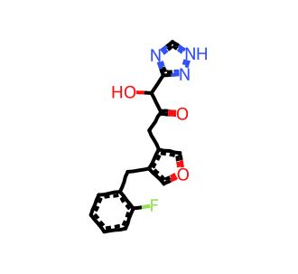 O=C(Cc1cocc1Cc1ccccc1F)C(O)c1nc[nH]n1